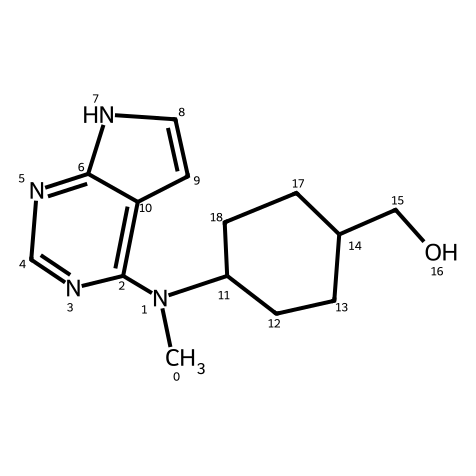 CN(c1ncnc2[nH]ccc12)C1CCC(CO)CC1